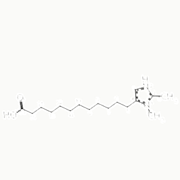 Cc1[nH]cc(CCCCCCCCCCCC(=O)O)[n+]1C